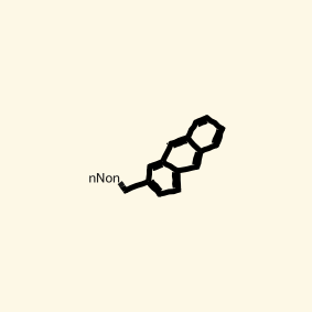 CCCCCCCCCCc1ccc2cc3ccccc3[c]c2c1